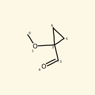 COC1([C]=O)CC1